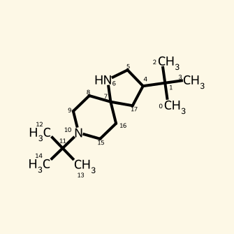 CC(C)(C)C1CNC2(CCN(C(C)(C)C)CC2)C1